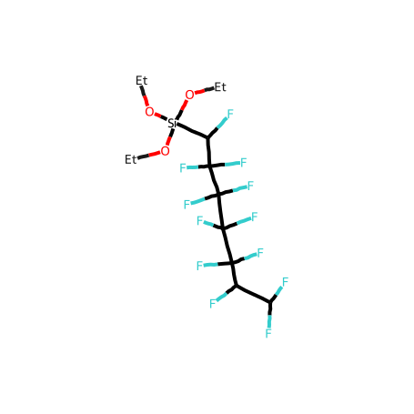 CCO[Si](OCC)(OCC)C(F)C(F)(F)C(F)(F)C(F)(F)C(F)(F)C(F)C(F)F